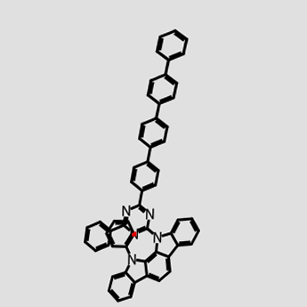 c1ccc(-c2ccc(-c3ccc(-c4ccc(-c5nc(-c6ccccc6)nc(-n6c7ccccc7c7ccc8c9ccccc9n(-c9ccccc9)c8c76)n5)cc4)cc3)cc2)cc1